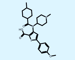 COc1ccc(-c2cc(N(C(=O)C3CCC(C)CC3)C3CCN(C)CC3)c(C(=O)O)s2)cc1